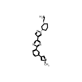 C=CC[C@@H]1CCC[C@H](n2cc(-c3cnc(-c4cccc(-c5cnn(C)c5)c4)nc3)cn2)C1